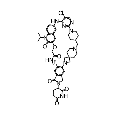 CNC(=O)COc1cc2cc(Nc3nc(N4CCC(CN5CCC6(CC5)CN(c5cc7c(cc5F)C(=O)N(C5CCC(=O)NC5=O)C7)C6)CC4)ncc3Cl)ccc2n(C(C)C)c1=O